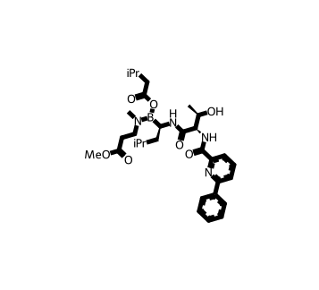 COC(=O)CCN(C)B(OC(=O)CC(C)C)[C@H](CC(C)C)NC(=O)[C@@H](NC(=O)c1cccc(-c2ccccc2)n1)[C@@H](C)O